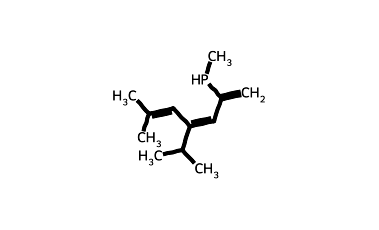 C=C(/C=C(\C=C(C)C)C(C)C)PC